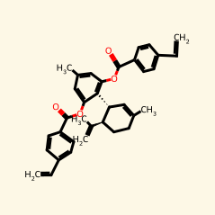 C=Cc1ccc(C(=O)Oc2cc(C)cc(OC(=O)c3ccc(C=C)cc3)c2[C@@H]2C=C(C)CC[C@H]2C(=C)C)cc1